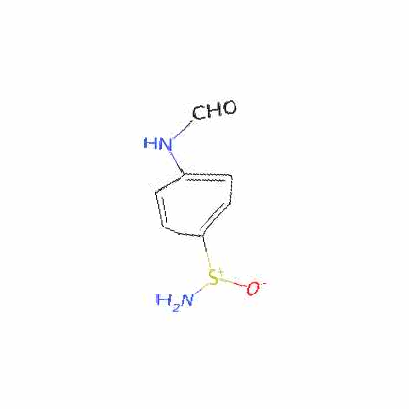 N[S+]([O-])c1ccc(NC=O)cc1